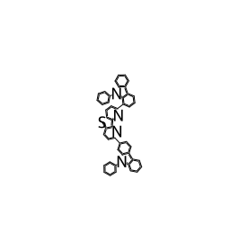 c1ccc(-n2c3ccccc3c3ccc(-c4ccc5sc6ccc(-c7cccc8c9ccccc9n(-c9ccccc9)c78)nc6c5n4)cc32)cc1